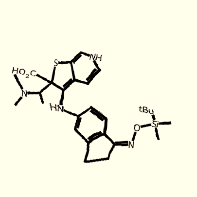 CC(N(C)C)C1(C(=O)O)SC2=CNC=CC2=C1Nc1ccc2c(c1)CC/C2=N/O[Si](C)(C)C(C)(C)C